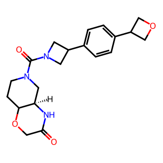 O=C1COC2CCN(C(=O)N3CC(c4ccc(C5COC5)cc4)C3)C[C@H]2N1